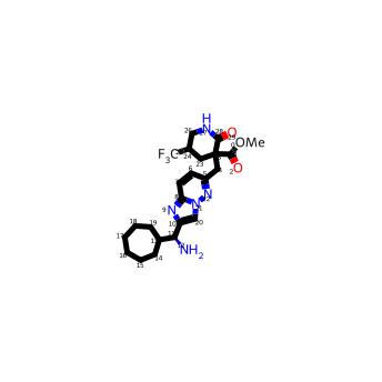 COC(=O)C1(Cc2ccc3nc([C@@H](N)C4CCCCCC4)cn3n2)CC(C(F)(F)F)CNC1=O